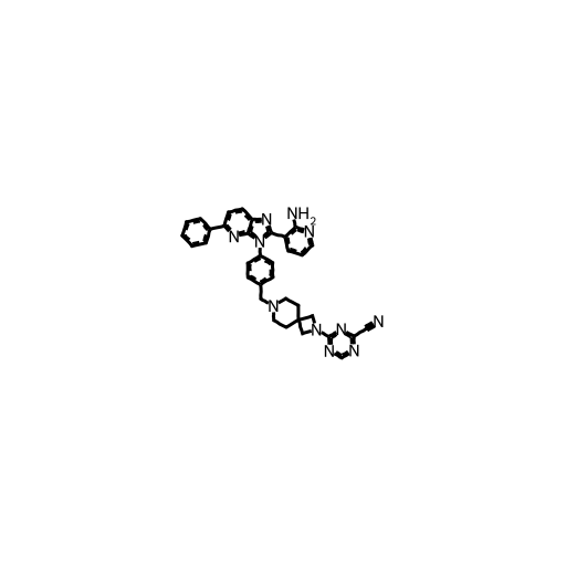 N#Cc1ncnc(N2CC3(CCN(Cc4ccc(-n5c(-c6cccnc6N)nc6ccc(-c7ccccc7)nc65)cc4)CC3)C2)n1